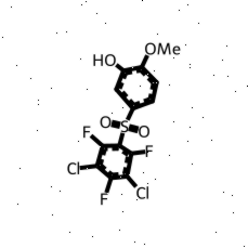 COc1ccc(S(=O)(=O)c2c(F)c(Cl)c(F)c(Cl)c2F)cc1O